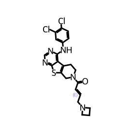 O=C(/C=C/CN1CCC1)N1CCc2c(sc3ncnc(Nc4ccc(Cl)c(Cl)c4)c23)C1